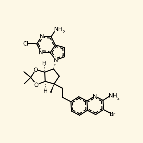 CC1(C)O[C@H]2[C@H](n3ccc4c(N)nc(Cl)nc43)C[C@](C)(CCc3ccc4cc(Br)c(N)nc4c3)[C@H]2O1